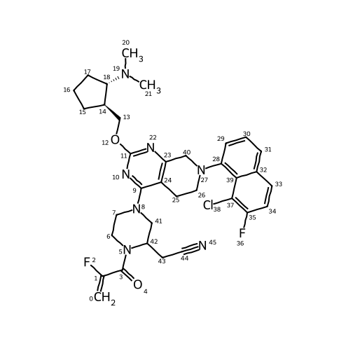 C=C(F)C(=O)N1CCN(c2nc(OC[C@H]3CCC[C@@H]3N(C)C)nc3c2CCN(c2cccc4ccc(F)c(Cl)c24)C3)CC1CC#N